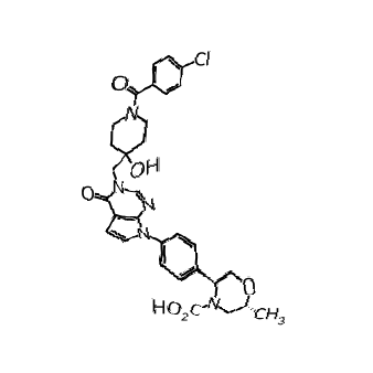 C[C@@H]1CN(C(=O)O)[C@@H](c2ccc(-n3ccc4c(=O)n(CC5(O)CCN(C(=O)c6ccc(Cl)cc6)CC5)cnc43)cc2)CO1